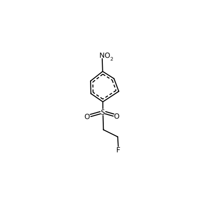 O=[N+]([O-])c1ccc(S(=O)(=O)CCF)cc1